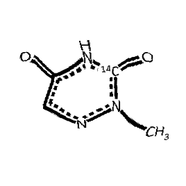 Cn1ncc(=O)[nH][14c]1=O